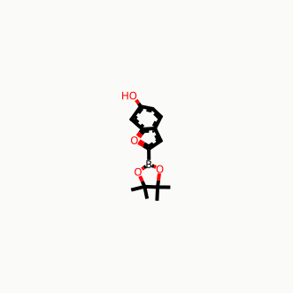 CC1(C)OB(c2cc3ccc(O)cc3o2)OC1(C)C